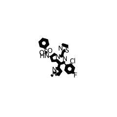 Cn1ccc(C2=C3C[C@H](NS(=O)(=O)c4ccccc4)CN3C(c3nccs3)=N[C@H]2c2ccc(F)cc2Cl)n1